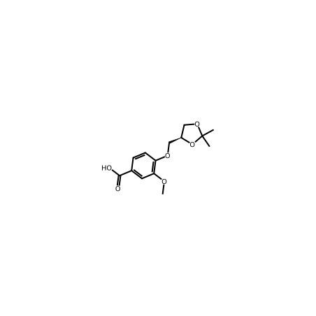 COc1cc(C(=O)O)ccc1OC[C@H]1COC(C)(C)O1